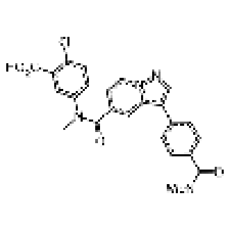 CNC(=O)c1ccc(-c2cnn3ccc(C(=O)N(C)c4ccc(Cl)c(C(=O)O)c4)cc23)cc1